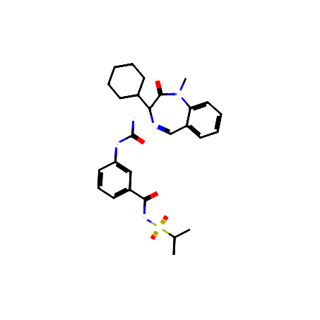 CC(C)S(=O)(=O)NC(=O)c1cccc(NC(=O)N[C@@]2(C3CCCCC3)N=Cc3ccccc3N(C)C2=O)c1